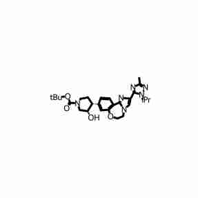 Cc1nc(-c2cn3c(n2)-c2ccc([C@H]4CCN(C(=O)OC(C)(C)C)C[C@@H]4O)cc2OCC3)n(C(C)C)n1